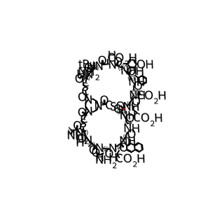 C[C@H](N)C(=O)N[C@H]1CSCC(=O)N2CCN3CCN(CC2)C(=O)CSC[C@@H](NC(=O)[C@@H](C)NC(=O)[C@H](Cc2cccc4ccccc24)NC(=O)[C@H](CCC(=O)O)NC(=O)[C@H](CC(N)=O)NC(=O)[C@@H](C)NC1=O)C(=O)N[C@@H](CCCC(=O)O)C(=O)N[C@@H](CC(=O)O)C(=O)N[C@@H](Cc1ccccc1)C(O)N[C@@H](Cc1ccc(O)cc1)C(=O)NC(CC(=O)O)C(=O)N[C@@H](C(C)(C)C)C(=O)N[C@H](C(N)=O)CSCC3=O